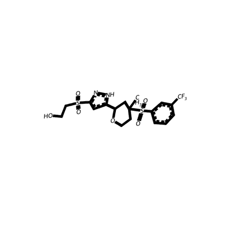 CC1(S(=O)(=O)c2cccc(C(F)(F)F)c2)CCOC(c2cc(S(=O)(=O)CCO)n[nH]2)C1